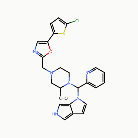 O=CC1CN(Cc2ncc(-c3ccc(Cl)s3)o2)CCN1C(c1ccccn1)n1ccc2c[nH]cc21